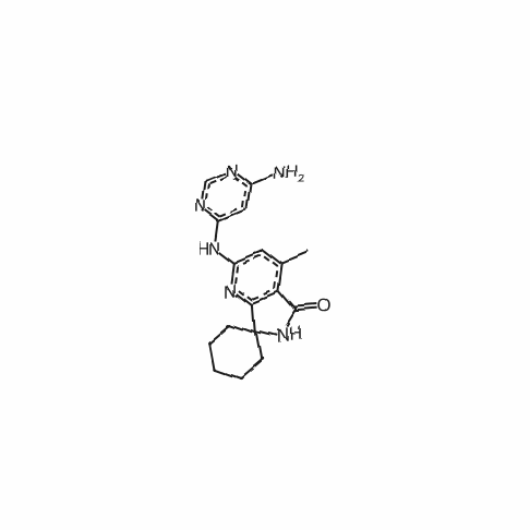 Cc1cc(Nc2cc(N)ncn2)nc2c1C(=O)NC21CCCCC1